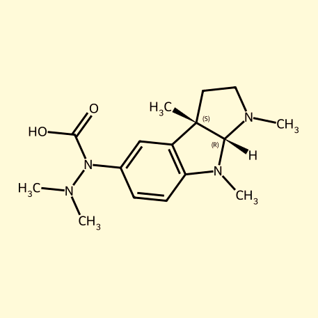 CN1CC[C@@]2(C)c3cc(N(C(=O)O)N(C)C)ccc3N(C)[C@@H]12